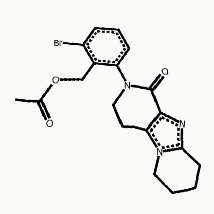 CC(=O)OCc1c(Br)cccc1N1CCc2c(nc3n2CCCC3)C1=O